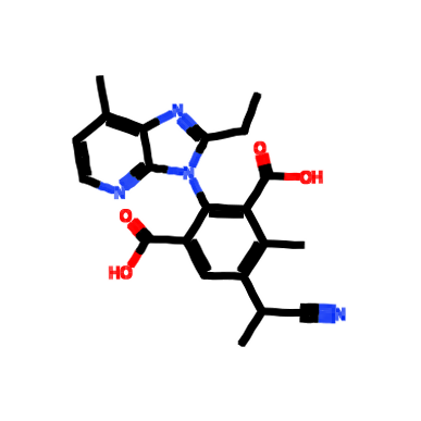 CCc1nc2c(C)ccnc2n1-c1c(C(=O)O)cc(C(C)C#N)c(C)c1C(=O)O